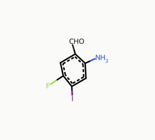 Nc1cc(I)c(F)cc1C=O